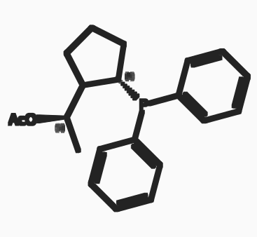 CC(=O)O[C@H](C)C1CCC[C@@H]1P(c1ccccc1)c1ccccc1